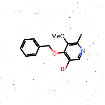 COc1c(C)ncc(Br)c1OCc1ccccc1